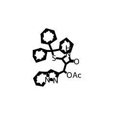 CC(=O)OC(c1cc2ccccn2n1)C1C(=O)NC1SC(c1ccccc1)(c1ccccc1)c1ccccc1